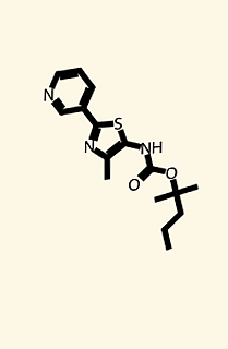 CCCC(C)(C)OC(=O)Nc1sc(-c2cccnc2)nc1C